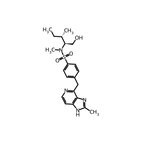 CC[C@H](C)[C@@H](CO)N(C)S(=O)(=O)c1ccc(Cc2nccc3[nH]c(C)nc23)cc1